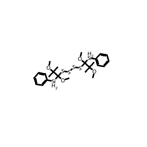 COC(C)(C)C(OC)([SiH2]c1ccccc1)SSSSC(OC)([SiH2]c1ccccc1)C(C)(C)OC